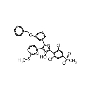 CSc1nccc(-c2c(-c3cccc(OCc4ccccc4)c3)nc(-c3c(Cl)cc(S(C)(=O)=O)cc3Cl)n2O)n1